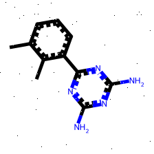 Cc1cccc(-c2nc(N)nc(N)n2)c1C